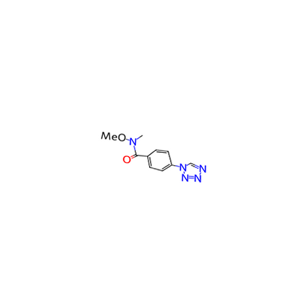 CON(C)C(=O)c1ccc(-n2cnnn2)cc1